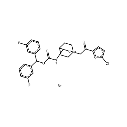 O=C(NC1C[N+]2(CC(=O)c3ccc(Cl)s3)CCC1CC2)OC(c1cccc(F)c1)c1cccc(F)c1.[Br-]